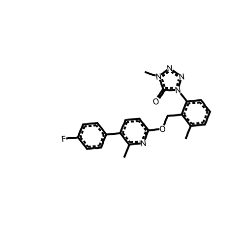 Cc1cccc(-n2nnn(C)c2=O)c1COc1ccc(-c2ccc(F)cc2)c(C)n1